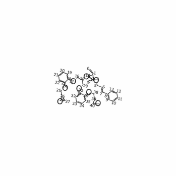 C=C[Si](C)(OC/C=C/c1ccccc1)OC(COc1ccccc1OCC1CO1)COc1ccccc1OCC1CO1